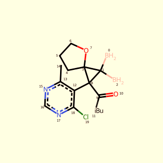 BC1(B)C2(CCCO2)C1(C(=O)C(C)CC)c1c(C)ncnc1Cl